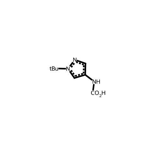 CC(C)(C)n1cc(NC(=O)O)cn1